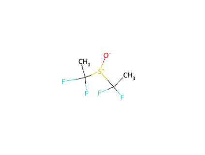 CC(F)(F)[S+]([O-])C(C)(F)F